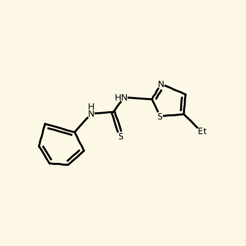 CCc1cnc(NC(=S)Nc2ccccc2)s1